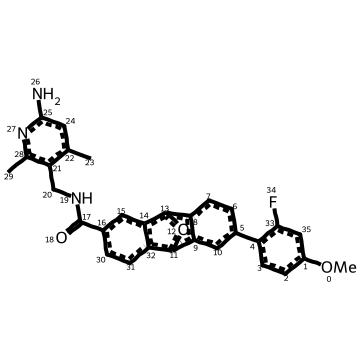 COc1ccc(-c2ccc3c(c2)c2oc3c3cc(C(=O)NCc4c(C)cc(N)nc4C)ccc32)c(F)c1